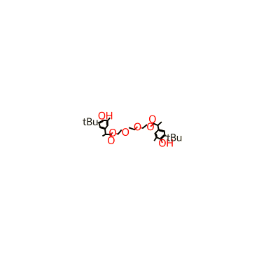 Cc1cc(C(C)C(=O)OCCOCCOCCOC(=O)C(C)c2cc(C)c(O)c(C(C)(C)C)c2)cc(C(C)(C)C)c1O